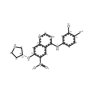 O=[N+]([O-])c1cc2c(Nc3ccc(F)c(Cl)c3)ncnc2cc1O[C@@H]1CCOC1